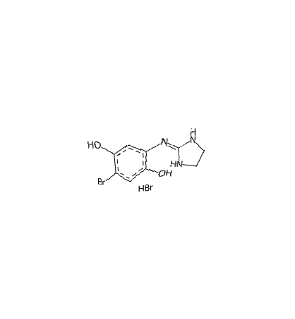 Br.Oc1cc(N=C2NCCN2)c(O)cc1Br